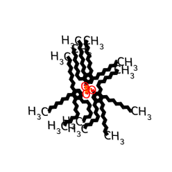 CCCCCCCCCc1cc(OP(Oc2cc(CCCCCCCCC)c(CCCCCCCCC)c(CCCCCCCCC)c2CCCCCCCCC)Oc2cc(CCCCCCCCC)c(CCCCCCCCC)c(CCCCCCCCC)c2CCCCCCCCC)c(CCCCCCCCC)c(CCCCCCCCC)c1CCCCCCCCC